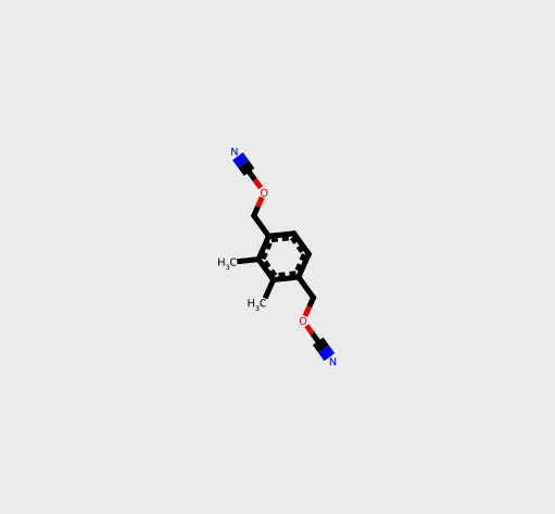 Cc1c(COC#N)ccc(COC#N)c1C